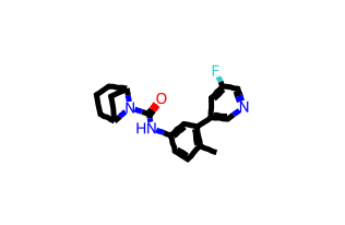 Cc1ccc(NC(=O)N2C3CCCC2C3)cc1-c1cncc(F)c1